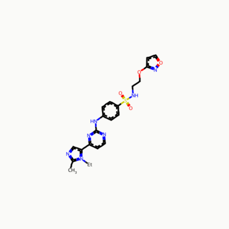 CCn1c(-c2ccnc(Nc3ccc(S(=O)(=O)NCCOc4ccon4)cc3)n2)cnc1C